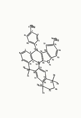 CC(C)(C)c1ccc(N2c3cccc4c3B(c3cc5c(cc3C4(C)C)C(C)(C)CCC5(C)C)c3oc4ccc(C(C)(C)C)cc4c32)cc1